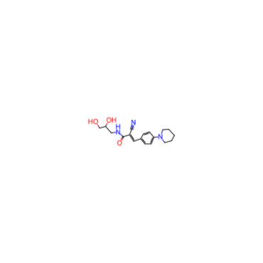 N#C/C(=C\c1ccc(N2CCCCC2)cc1)C(=O)NCC(O)CO